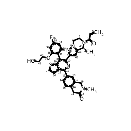 C=CC(=O)N1CCn2nc(-c3nc(-c4ccc5c(c4)CN(C)C(=O)C5)c4ccsc4c3-c3c(F)cc(F)cc3OCCO)cc2[C@@H]1C